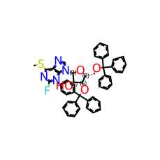 CSc1nc(F)nc2c1ncn2[C@@H]1O[C@H](COC(c2ccccc2)(c2ccccc2)c2ccccc2)[C@@H](OC(c2ccccc2)(c2ccccc2)c2ccccc2)[C@H]1O